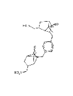 CC1(C)C2CC(CS(=O)(=O)O)C1C(Cc1ccc(CC3C(=O)C4CC(CS(=O)(=O)O)C3C4(C)C)cc1)C2=O